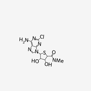 CNC(=O)C1SC(n2cnc3c(N)nc(Cl)nc32)C(O)C1O